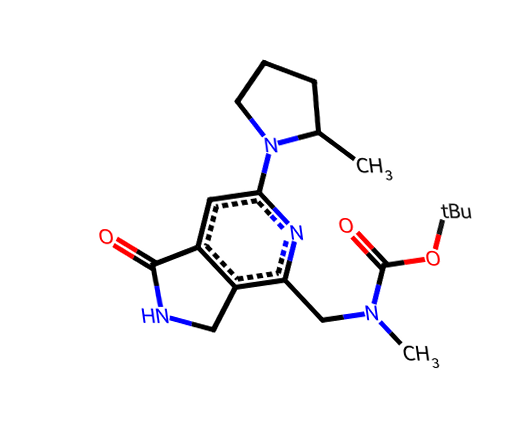 CC1CCCN1c1cc2c(c(CN(C)C(=O)OC(C)(C)C)n1)CNC2=O